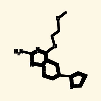 COCCOc1nc(N)nc2ccc(-c3cccs3)cc12